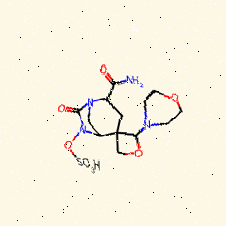 NC(=O)C1CC2(COC2N2CCOCC2)C2CN1C(=O)N2OS(=O)(=O)O